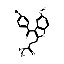 CC(C)NC(=O)CCc1oc2ccc(OCl)cc2c1C(=O)c1ccc(Br)cc1